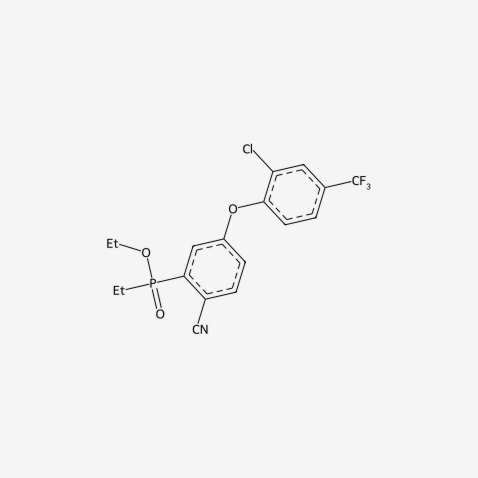 CCOP(=O)(CC)c1cc(Oc2ccc(C(F)(F)F)cc2Cl)ccc1C#N